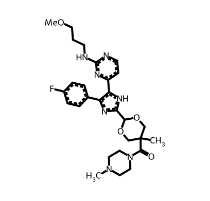 COCCCNc1nccc(-c2[nH]c(C3OCC(C)(C(=O)N4CCN(C)CC4)CO3)nc2-c2ccc(F)cc2)n1